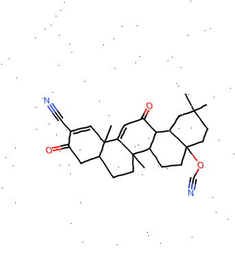 CC1(C)CCC2(OC#N)CCC3C(C(=O)C=C4C5(C)C=C(C#N)C(=O)CC5CCC43C)C2C1